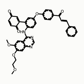 COCCOc1cc2ncnc(Nc3ccc(Oc4ccc(C(=O)/C=C/c5ccccc5)cc4)cc3C3=CC(=O)C=CC3=O)c2cc1OC